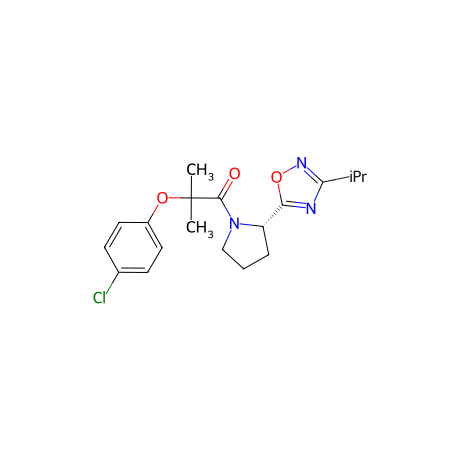 CC(C)c1noc([C@@H]2CCCN2C(=O)C(C)(C)Oc2ccc(Cl)cc2)n1